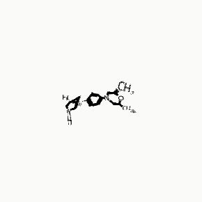 CC1CN(c2ccc([C@]34CNC[C@H]3C4)cc2)CC(C)O1